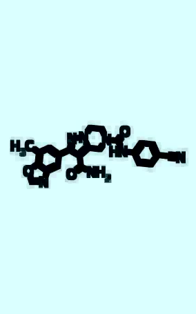 Cc1cc(-c2nn3c(c2C(N)=O)CN(C(=O)Nc2ccc(C#N)cc2)CC3)cc2ncoc12